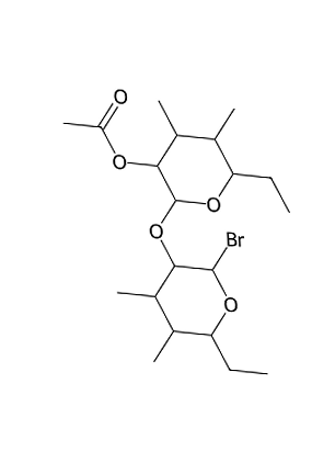 CCC1OC(Br)C(OC2OC(CC)C(C)C(C)C2OC(C)=O)C(C)C1C